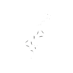 Cc1cc(-c2cc3c4c(cc(Cl)c3o2)OC(CO[Si](C)(C)C(C)(C)C)CO4)c2ncc(OC(F)F)nc2c1